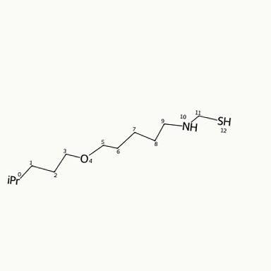 CC(C)CCCOCCCCCNCS